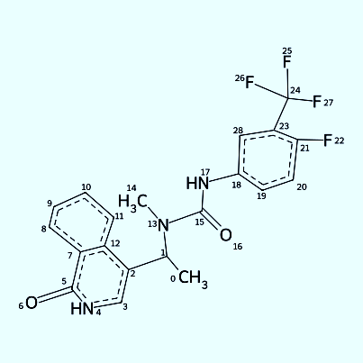 CC(c1c[nH]c(=O)c2ccccc12)N(C)C(=O)Nc1ccc(F)c(C(F)(F)F)c1